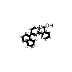 O=C(O)c1cccnc1-c1nccc(-c2cccc3ccccc23)n1